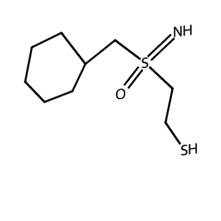 N=S(=O)(CCS)CC1CCCCC1